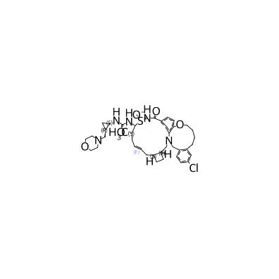 C[C@H]1C/C=C/C[C@@H]2CC[C@H]2CN2Cc3ccc(Cl)cc3CCCCOc3ccc(cc32)C(=O)N[S+]([O-])C1NC(=O)N[C@H]1C[C@@H]1CN1CCOCC1